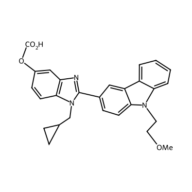 COCCn1c2ccccc2c2cc(-c3nc4cc(OC(=O)O)ccc4n3CC3CC3)ccc21